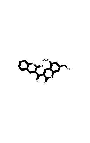 COc1cc(CO)cc2oc(=O)c(C(=O)c3cc4ccccc4oc3=O)cc12